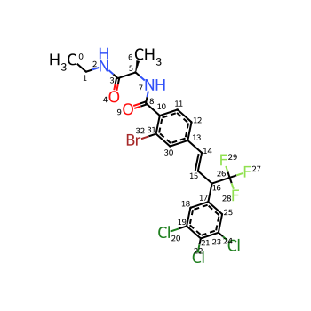 CCNC(=O)[C@@H](C)NC(=O)c1ccc(/C=C/C(c2cc(Cl)c(Cl)c(Cl)c2)C(F)(F)F)cc1Br